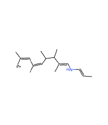 C/C=C/N/C=C(\C)C(C)C(C)/C=C(C)\C=C(\C)C(C)C